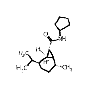 CC(C)[C@@H]1CC[C@@H](C)[C@@H]2[C@@H](C(=O)NC3CCCC3)[C@@H]21